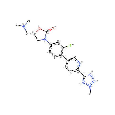 CN(C)C[C@H]1CN(c2ccc(-c3ccc(-c4nnn(C)n4)nc3)c(F)c2)C(=O)O1